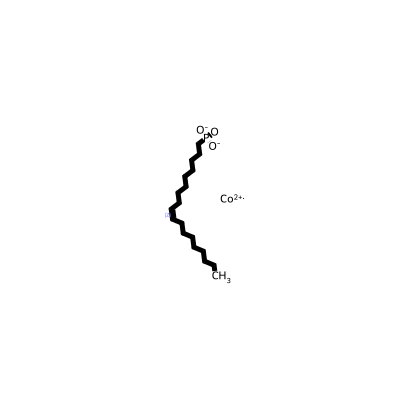 CCCCCCCC/C=C\CCCCCCCCP(=O)([O-])[O-].[Co+2]